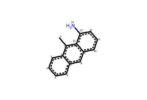 Cc1c2ccccc2cc2cccc(N)c12